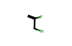 C=C(F)CBr